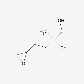 CC(C)(CO)CCC1CO1